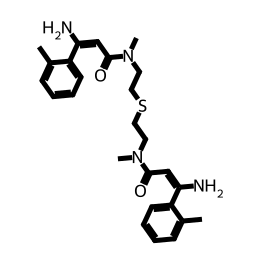 Cc1ccccc1/C(N)=C\C(=O)N(C)CCSCCN(C)C(=O)/C=C(/N)c1ccccc1C